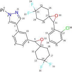 CC(C)n1cc(-c2cccc(C3OC34CCC(F)(F)CC4)c2)cn1.FC1(F)CCC2(CC1)OC2c1ccccc1Cl